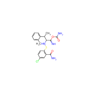 Cc1ccccc1C(C)C(NSc1ccc(Cl)cc1C(N)=O)C(=N)OC(N)=O